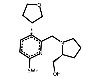 CSc1ccc([C@@H]2CCOC2)c(CN2CCC[C@H]2CO)n1